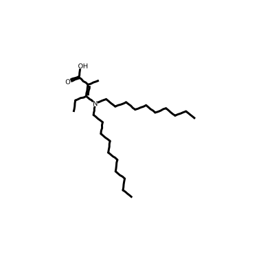 CCCCCCCCCCN(CCCCCCCCCC)/C(CC)=C(\C)C(=O)O